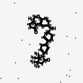 [2H]C1([2H])CC(=O)N(c2ccc(-c3ccc(Nc4cnc5c(c4)N4C(=O)CC[C@H]4CO5)nc3)cc2)C1([2H])[2H]